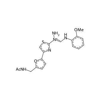 COc1ccccc1NC=[N+](N)c1nc(-c2ccc(CNC(C)=O)o2)cs1